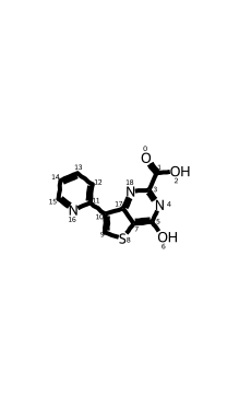 O=C(O)c1nc(O)c2scc(-c3ccccn3)c2n1